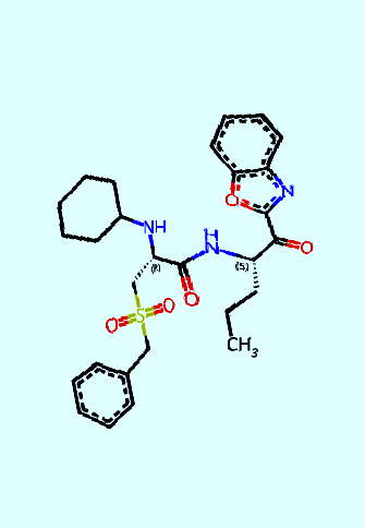 CCC[C@H](NC(=O)[C@H](CS(=O)(=O)Cc1ccccc1)NC1CCCCC1)C(=O)c1nc2ccccc2o1